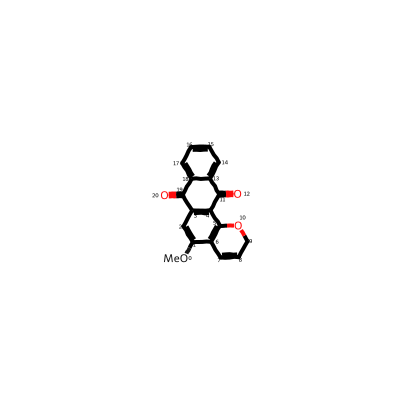 COc1cc2c(c3c1C=CCO3)C(=O)c1ccccc1C2=O